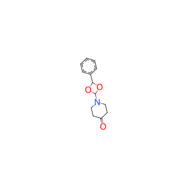 O=C1CCN(C2OC(c3ccccc3)O2)CC1